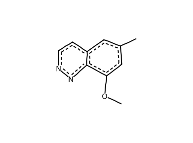 COc1cc(C)cc2ccnnc12